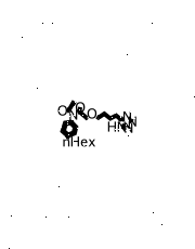 CCCCCCc1ccc(N2C(=O)COC2COCCCCc2nnn[nH]2)cc1